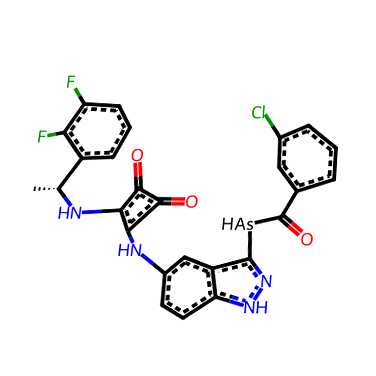 C[C@@H](Nc1c(Nc2ccc3[nH]nc([AsH]C(=O)c4cccc(Cl)c4)c3c2)c(=O)c1=O)c1cccc(F)c1F